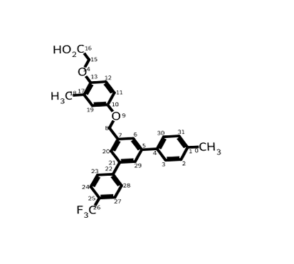 Cc1ccc(-c2cc(COc3ccc(OCC(=O)O)c(C)c3)cc(-c3ccc(C(F)(F)F)cc3)c2)cc1